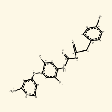 Nc1cc(Oc2cc(F)c(NC(=O)NC(=O)Cc3ccc(F)cc3)cc2F)ccn1